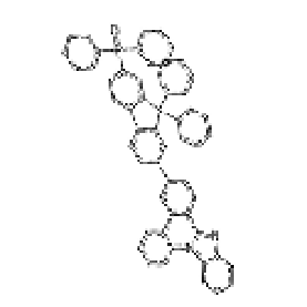 O=P(c1ccccc1)(c1ccccc1)c1ccc2c(c1)C(c1ccccc1)(c1ccccc1)c1cc(-c3ccc4c(c3)c3ccccc3n3c5ccccc5nc43)ccc1-2